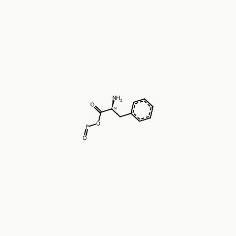 N[C@@H](Cc1ccccc1)C(=O)OP=O